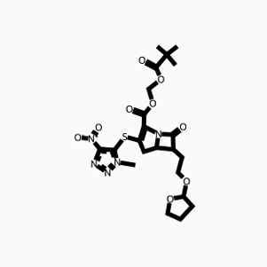 Cn1nnc([N+](=O)[O-])c1SC1=C(C(=O)OCOC(=O)C(C)(C)C)N2C(=O)C(CCOC3CCCO3)C2C1